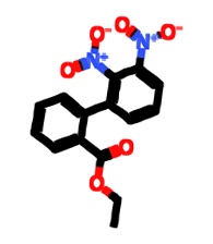 CCOC(=O)c1ccccc1-c1cccc([N+](=O)[O-])c1[N+](=O)[O-]